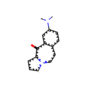 CN(C)c1ccc2ccn3cccc3c(=O)c2c1